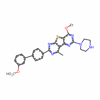 CCOc1nc(N2CCNCC2)nc2c1sc1nc(-c3ccc(-c4cccc(OC(=O)O)c4)cc3)nc(C)c12